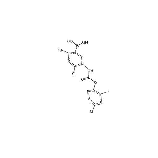 Cc1cc(Cl)ccc1OC(=S)Nc1cc(B(O)O)c(Cl)cc1Cl